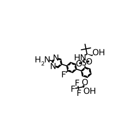 CC(C)(C)[C@@H](CO)NS(=O)(=O)c1ccccc1-c1ccc(-c2cnc(N)nc2)c(F)c1.O=C(O)C(F)(F)F